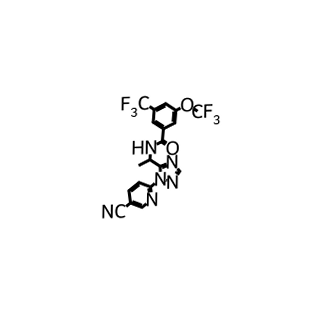 CC(NC(=O)c1cc(OC(F)(F)F)cc(C(F)(F)F)c1)c1ncnn1-c1ccc(C#N)cn1